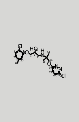 Cc1ccc(Cl)c(OCC(O)CNC(C)(C)COc2ccc(Cl)nn2)c1